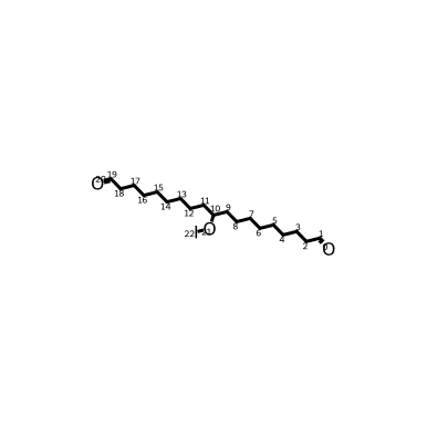 O=CCCCCCCCCC(CCCCCCCCC=O)OI